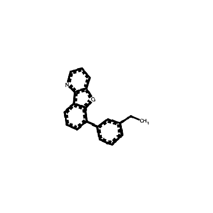 CCc1cccc(-c2cccc3c2oc2cccnc23)c1